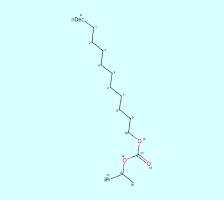 CCCCCCCCCCCCCCCCCCCCOC(=O)OC(C)C(C)C